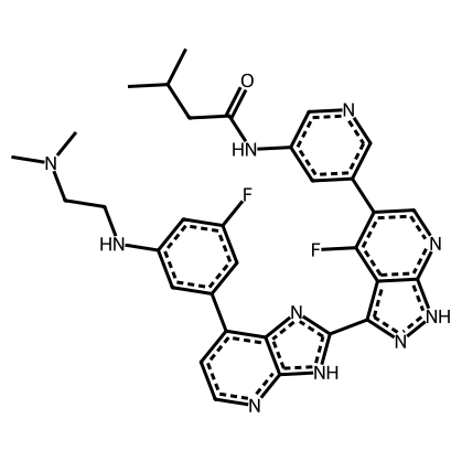 CC(C)CC(=O)Nc1cncc(-c2cnc3[nH]nc(-c4nc5c(-c6cc(F)cc(NCCN(C)C)c6)ccnc5[nH]4)c3c2F)c1